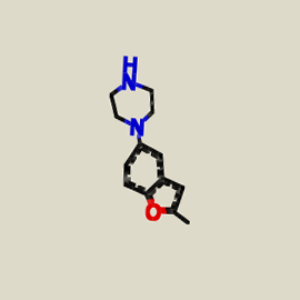 Cc1cc2cc(N3CCNCC3)ccc2o1